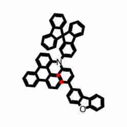 c1ccc2c(c1)-c1ccccc1C21c2ccccc2-c2ccc(N(c3ccc(-c4ccc5oc6ccccc6c5c4)cc3)c3cccc4c5ccccc5c5ccccc5c34)cc21